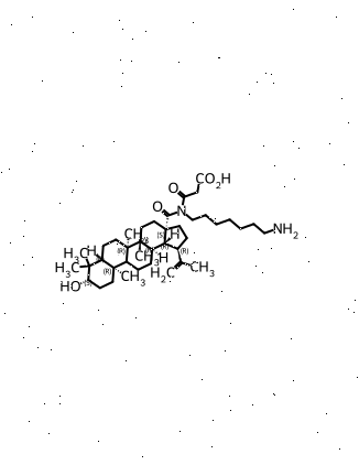 C=C(C)[C@@H]1CC[C@]2(C(=O)N(CCCCCCCN)C(=O)CC(=O)O)CC[C@]3(C)[C@H](CCC4[C@@]5(C)CC[C@H](O)C(C)(C)[C@@H]5CC[C@]43C)[C@@H]12